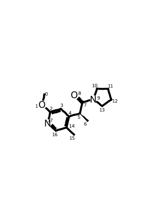 COc1cc([C@H](C)C(=O)N2CCCC2)c(C)cn1